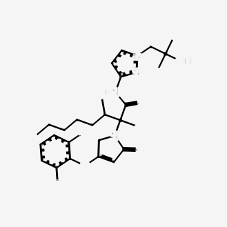 CCCCCC(C)C(C)(C(=O)Nc1ccn(CC(C)(C)O)n1)N1CC(Oc2c(F)cccc2F)=CC1=O